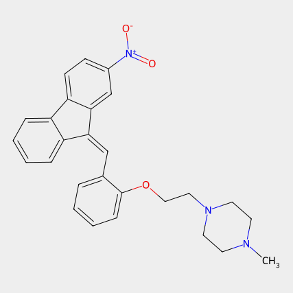 CN1CCN(CCOc2ccccc2C=C2c3ccccc3-c3ccc([N+](=O)[O-])cc32)CC1